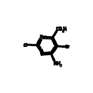 Nc1cc(Cl)nc(C(=O)O)c1Br